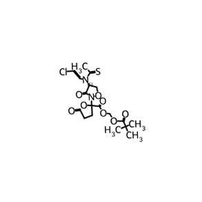 CC(=S)N(C=CCl)[C@H]1CON(C2(C(=O)OCOC(=O)C(C)(C)C)CCC(=O)O2)C1=O